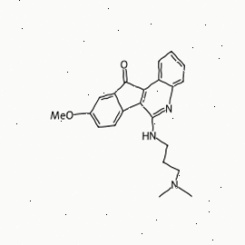 COc1ccc2c(c1)C(=O)c1c-2c(NCCCN(C)C)nc2ccccc12